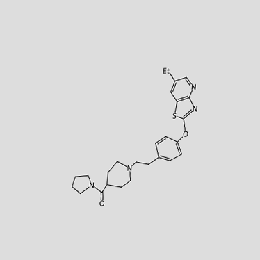 CCc1cnc2nc(Oc3ccc(CCN4CCC(C(=O)N5CCCC5)CC4)cc3)sc2c1